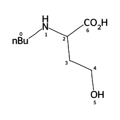 CCCCNC(CCO)C(=O)O